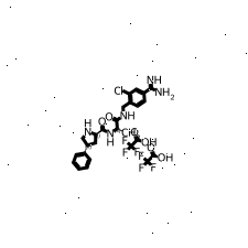 C[C@H](NC(=O)[C@H]1C[C@H](c2ccccc2)CN1)C(=O)NCc1ccc(C(=N)N)cc1Cl.O=C(O)C(F)(F)F.O=C(O)C(F)(F)F